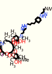 CNCc1cn(-c2ccc(CCCCn3cc(CCN(C)[C@H]4C[C@@H](C)O[C@@H](O[C@@H]5[C@@H](C)[C@H](O[C@H]6C[C@@](C)(OC)[C@@H](O)[C@H](C)O6)[C@@H](C)C(=O)O[C@H](I)[C@@](C)(O)[C@H](O)[C@@H](C)N(C)C[C@H](C)C[C@@]5(C)O)[C@@H]4O)nn3)cc2)nn1